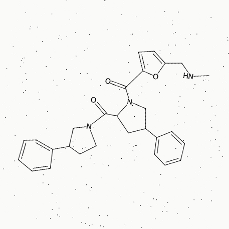 CNCc1ccc(C(=O)N2CC(c3ccccc3)CC2C(=O)N2CCC(c3ccccc3)C2)o1